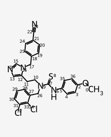 COc1ccc(NC(=S)N(CCc2cncn2Cc2ccc(C#N)cc2)Cc2cccc(Cl)c2Cl)cc1